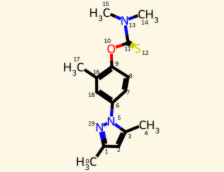 Cc1cc(C)n(-c2ccc(OC(=S)N(C)C)c(C)c2)n1